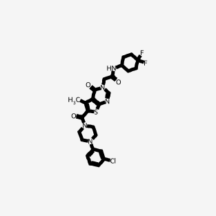 Cc1c(C(=O)N2CCN(c3cccc(Cl)c3)CC2)sc2ncn(CC(=O)NC3CCC(F)(F)CC3)c(=O)c12